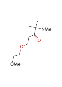 CNC(C)(C)C(=O)CCOCCOC